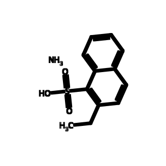 CCc1ccc2ccccc2c1S(=O)(=O)O.N